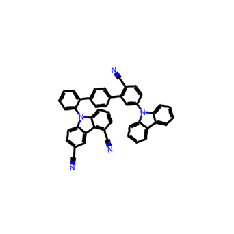 N#Cc1ccc2c(c1)c1c(C#N)cccc1n2-c1ccccc1-c1ccc(-c2cc(-n3c4ccccc4c4ccccc43)ccc2C#N)cc1